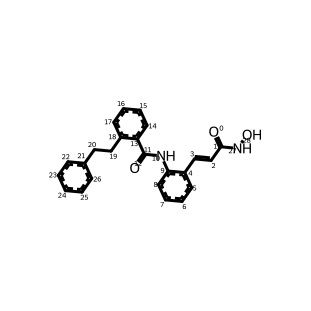 O=C(/C=C/c1ccccc1NC(=O)c1ccccc1CCc1ccccc1)NO